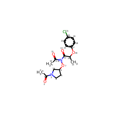 CC(=O)N1CCC(ON(C(C)=O)C(=O)C(C)Oc2ccc(Cl)cc2)C1